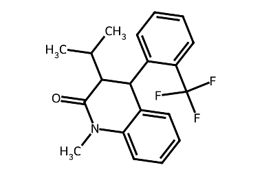 CC(C)C1C(=O)N(C)c2ccccc2C1c1ccccc1C(F)(F)F